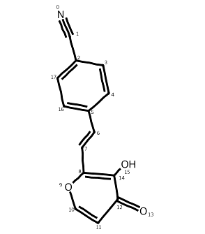 N#Cc1ccc(/C=C/c2occc(=O)c2O)cc1